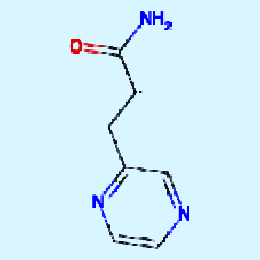 NC(=O)[CH]Cc1cnccn1